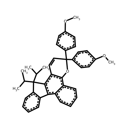 COc1ccc(C2(c3ccc(OC)cc3)C=Cc3c4c(c5ccccc5c3O2)-c2ccccc2C4(C(C)C)C(C)C)cc1